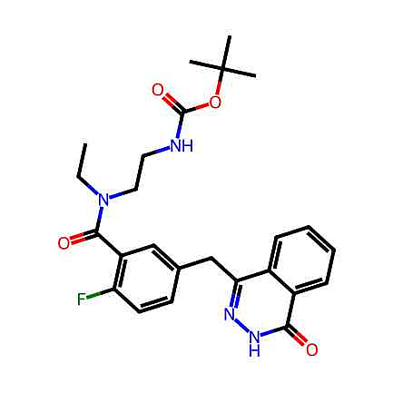 CCN(CCNC(=O)OC(C)(C)C)C(=O)c1cc(Cc2n[nH]c(=O)c3ccccc23)ccc1F